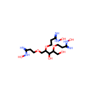 N=C(CCOCC(OCCC(=N)NO)C(O)C(CO)OCCC(=N)NO)NO